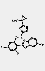 CC(=O)OC1(c2ccc(C3Oc4cc(Br)cc(F)c4-c4cc5cc(Br)ccc5n43)s2)CC1